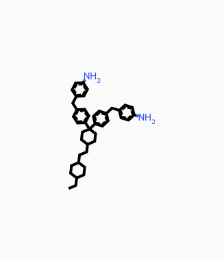 CCC1CCC(CCC2CCC(c3ccc(Cc4ccc(N)cc4)cc3)(c3ccc(Cc4ccc(N)cc4)cc3)CC2)CC1